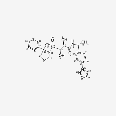 C[C@@H](NC(=O)[C@H](O)[C@@H](O)C(=O)N1CCCC1(C)c1ccccc1)c1ccc(-n2cccn2)cc1